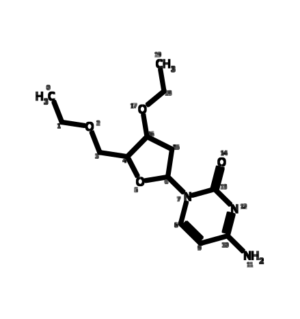 CCOCC1OC(n2ccc(N)nc2=O)CC1OCC